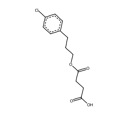 O=C(O)CCC(=O)OCCCc1ccc(Cl)cc1